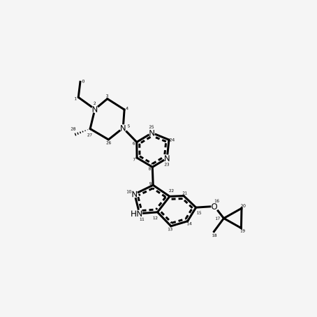 CCN1CCN(c2cc(-c3n[nH]c4ccc(OC5(C)CC5)cc34)ncn2)C[C@@H]1C